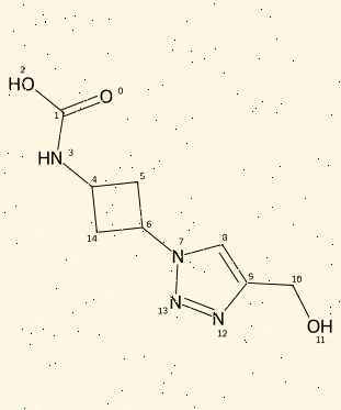 O=C(O)NC1CC(n2cc(CO)nn2)C1